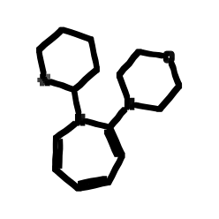 C1=CC=C(N2CCOCC2)N(C2CCCC[N]2)C=C1